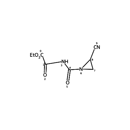 CCOC(=O)C(=O)NC(=O)N1CC1C#N